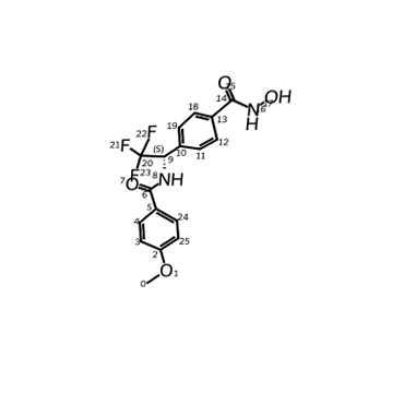 COc1ccc(C(=O)N[C@@H](c2ccc(C(=O)NO)cc2)C(F)(F)F)cc1